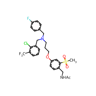 CC(=O)NCc1ccc(OCCCN(Cc2ccc(F)cc2)Cc2cccc(C(F)(F)F)c2Cl)cc1S(C)(=O)=O